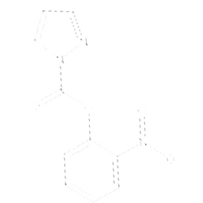 O=C(Oc1ccccc1[N+](=O)[O-])n1cccn1